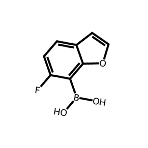 OB(O)c1c(F)ccc2ccoc12